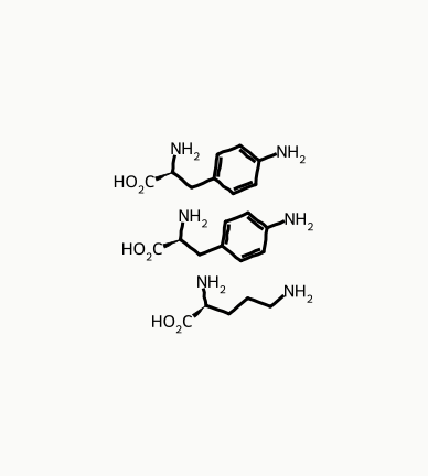 NCCC[C@H](N)C(=O)O.Nc1ccc(C[C@H](N)C(=O)O)cc1.Nc1ccc(C[C@H](N)C(=O)O)cc1